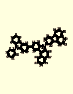 c1ccc(-n2c3ccccc3c3cc(-c4ccc5c(c4)c4c6ccccc6ccc4n5-c4cc5c(cn4)-c4cccc6nccc-5c46)ccc32)cc1